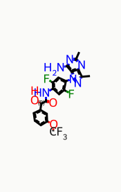 Cc1nc(N)c2c(n1)c(C)nn2-c1cc(F)c(NC(=O)[C@H](O)c2cccc(OC(F)(F)F)c2)cc1F